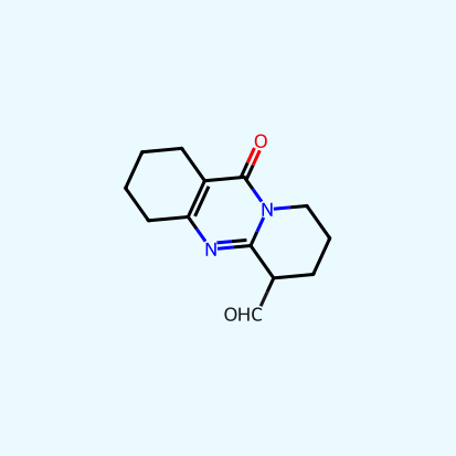 O=CC1CCCn2c1nc1c(c2=O)CCCC1